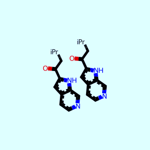 CC(C)CC(=O)c1cc2ccncc2[nH]1.CC(C)CC(=O)c1cc2ccncc2[nH]1